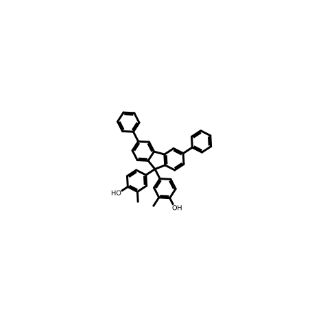 Cc1cc(C2(c3ccc(O)c(C)c3)c3ccc(-c4ccccc4)cc3-c3cc(-c4ccccc4)ccc32)ccc1O